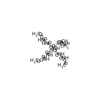 COc1ccc(NC(=O)CCNC(=O)CCOCC(COCCC(=O)NCCC(=O)Nc2ccc(OC)cc2)(COCCC(=O)NCCC(=O)Nc2ccc(OC)cc2)NC(=O)CCC(C)CC(C)C(=O)C(C)S)cc1